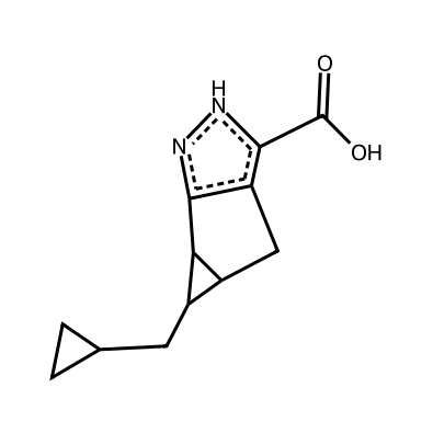 O=C(O)c1[nH]nc2c1CC1C(CC3CC3)C21